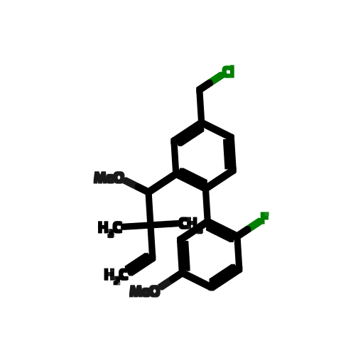 C=CC(C)(C)C(OC)c1cc(CCl)ccc1-c1cc(OC)ccc1F